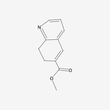 COC(=O)C1=Cc2cccnc2CC1